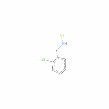 SNCc1ccccc1Cl